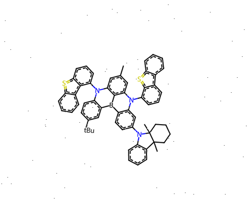 Cc1cc2c3c(c1)N(c1cccc4sc5ccccc5c14)c1ccc(C(C)(C)C)cc1B3c1ccc(N3c4ccccc4C4(C)CCCCC34C)cc1N2c1cccc2c1sc1ccccc12